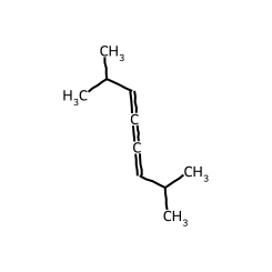 CC(C)C=C=C=CC(C)C